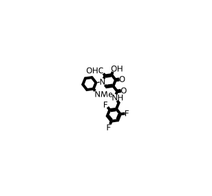 CNC1CCCC[C@@H]1n1cc(C(=O)NCc2c(F)cc(F)cc2F)c(=O)c(O)c1C=O